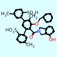 Cc1ccc(S(=O)(=O)O)c(-c2cc(-c3cc(C)ccc3S(=O)(=O)O)c(C(=O)N3Cc4cccc(O)c4C3)c(OCc3ccccc3)c2C)c1